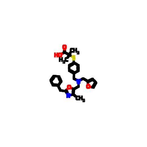 Cc1nc(Cc2ccccc2)oc1CN(Cc1ccc(SC(C)(C)C(=O)O)cc1)Cc1ccco1